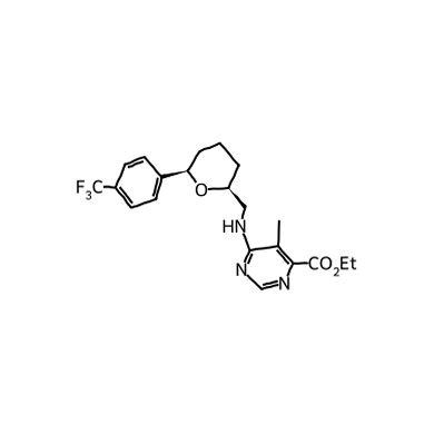 CCOC(=O)c1ncnc(NC[C@@H]2CCC[C@H](c3ccc(C(F)(F)F)cc3)O2)c1C